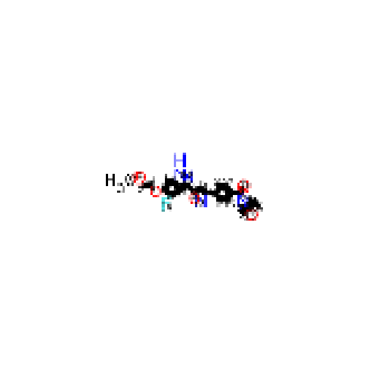 COCCOc1cc2[nH]nc(-c3cc(-c4ccc(C(=O)N5C6COCC5C6)cc4)no3)c2cc1F